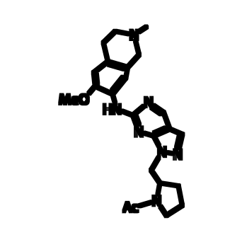 COc1cc2c(cc1Nc1ncc3cnn(CC4CCCN4C(C)=O)c3n1)CN(C)CC2